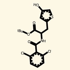 CC(C)(C)OC(=O)C(Cc1cc(O)cs1)NC(=O)c1c(Cl)cccc1Cl